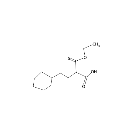 CCOC(=S)C(CCC1CCCCC1)C(=O)O